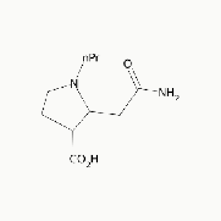 CCCN1CCC(C(=O)O)C1CC(N)=O